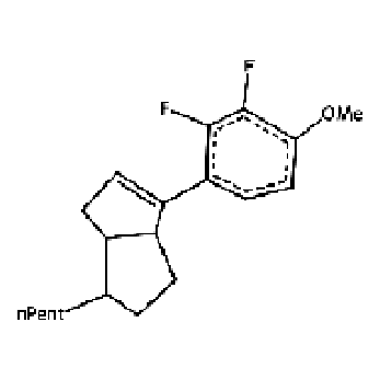 CCCCCC1CCC2C(c3ccc(OC)c(F)c3F)=CCC12